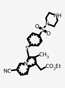 CCOC(=O)Cc1c(C)c(Sc2ccc(S(=O)(=O)N3CCNCC3)cc2)n2cc(C#N)ccc12